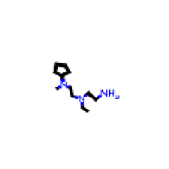 CCN(CCN)CCN(C)C1CCCC1